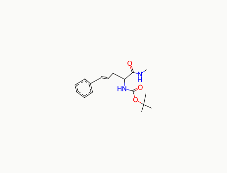 CNC(=O)C(CC=Cc1ccccc1)NC(=O)OC(C)(C)C